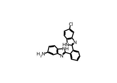 Nc1ccc2[nH]c(-c3ccccc3-c3nc4cc(Cl)ccc4[nH]3)nc2c1